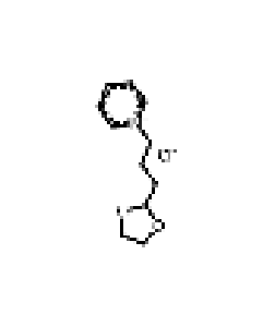 [Cl-].c1cc[n+](CCCC2OCCO2)cc1